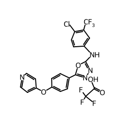 FC(F)(F)c1cc(Nc2nnc(-c3ccc(Oc4ccncc4)cc3)o2)ccc1Cl.O=C(O)C(F)(F)F